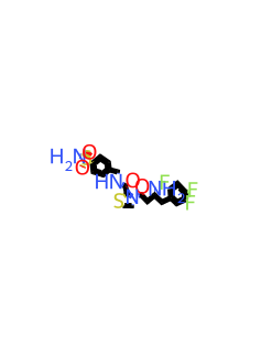 N[C@@H](CC(=O)N1CCSC1C(=O)NCc1ccc(S(N)(=O)=O)cc1)Cc1cc(F)c(F)cc1F